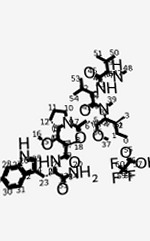 CC[C@H](C)[C@@H]([C@@H](CC(=O)N1CCC[C@H]1[C@H](OC)[C@@H](C)C(=O)N[C@@H](Cc1c[nH]c2ccccc12)C(N)=O)OC)N(C)C(=O)[C@@H](NC(=O)[C@@H](NC)C(C)C)C(C)C.O=C(O)C(F)(F)F